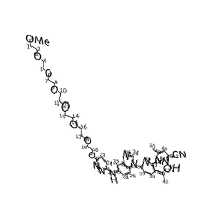 COCCOCCOCCOCCOCCOCCOCCOc1ccc(Nc2ccc3c(c2)ncn3-c2ccc(C(C)O)c(-n3nc(C#N)cc3C)n2)nn1